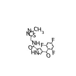 Cc1nnc(CNC(=O)c2cc(C(=O)c3c(F)cc(F)cc3F)c[nH]2)s1